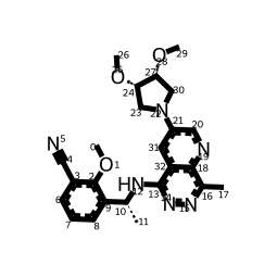 COc1c(C#N)cccc1[C@@H](C)Nc1nnc(C)c2ncc(N3C[C@H](OC)[C@H](OC)C3)cc12